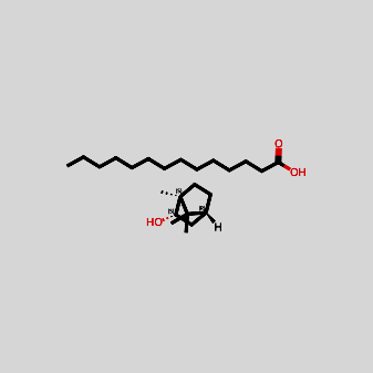 CC1(C)[C@@H]2CC[C@]1(C)[C@@H](O)C2.CCCCCCCCCCCCCC(=O)O